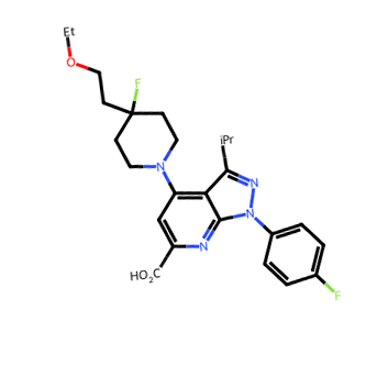 CCOCCC1(F)CCN(c2cc(C(=O)O)nc3c2c(C(C)C)nn3-c2ccc(F)cc2)CC1